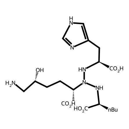 CCCC[C@H](NN(N[C@@H](Cc1c[nH]cn1)C(=O)O)[C@@H](CC[C@@H](O)CN)C(=O)O)C(=O)O